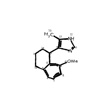 COc1cccc2c1C(c1nc[nH]c1C)CCC2